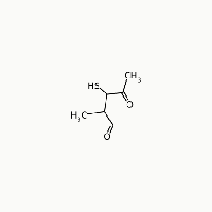 CC(=O)C(S)C(C)C=O